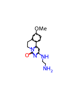 COc1ccc2c(c1)CCn1c-2cc(NCCN)nc1=O